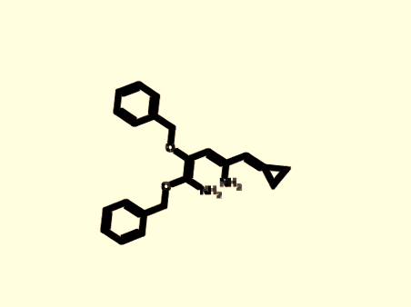 N/C(C=C1CC1)=C\C(OCc1ccccc1)=C(/N)OCc1ccccc1